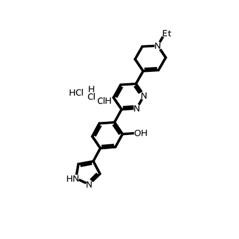 CCN1CC=C(c2ccc(-c3ccc(-c4cn[nH]c4)cc3O)nn2)CC1.Cl.Cl.Cl